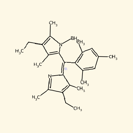 Bn1c(C)c(CC)c(C)c1/C(=C1\N=C(C)C(CC)=C1C)c1c(C)cc(C)cc1C